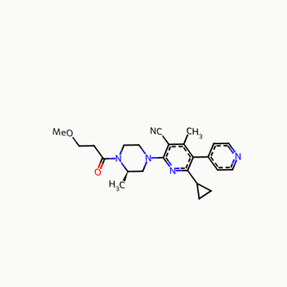 COCCC(=O)N1CCN(c2nc(C3CC3)c(-c3ccncc3)c(C)c2C#N)C[C@H]1C